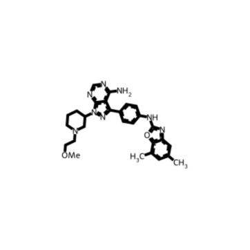 COCCN1CCCC(n2nc(-c3ccc(Nc4nc5cc(C)cc(C)c5o4)cc3)c3c(N)ncnc32)C1